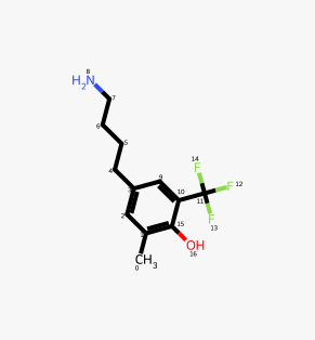 Cc1cc(CCCCN)cc(C(F)(F)F)c1O